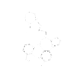 COc1cccc([C@@H]2O[C@@H](CC(=O)N[C@@H]3CCCC[C@@H]3OC=O)c3cccn3-c3ccc(Cl)cc32)c1OC